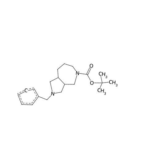 CC(C)(C)OC(=O)N1CCCC2CN(Cc3ccccc3)CC2C1